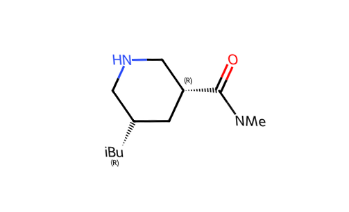 CC[C@@H](C)C1CNC[C@H](C(=O)NC)C1